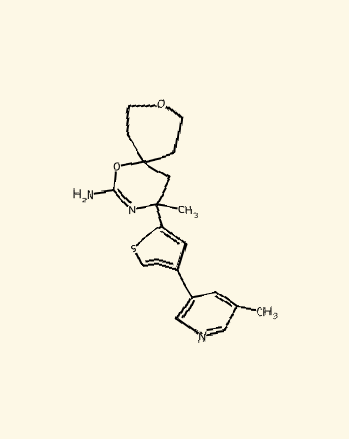 Cc1cncc(-c2csc(C3(C)CC4(CCOCC4)OC(N)=N3)c2)c1